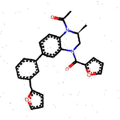 CC(=O)N1c2ccc(-c3cccc(-c4ccco4)c3)cc2N(C(=O)c2ccco2)C[C@@H]1C